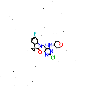 O=C1N(Cc2cnc(Cl)nc2NC2CCOCC2)c2cc(F)ccc2C12CC2